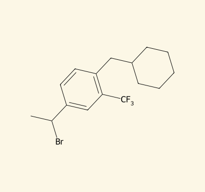 CC(Br)c1ccc(CC2CCCCC2)c(C(F)(F)F)c1